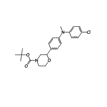 CN(c1ccc(Cl)cc1)c1ccc(C2CN(C(=O)OC(C)(C)C)CCO2)cc1